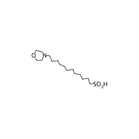 O=S(=O)(O)CCCCCCCCCCCCN1CCOCC1